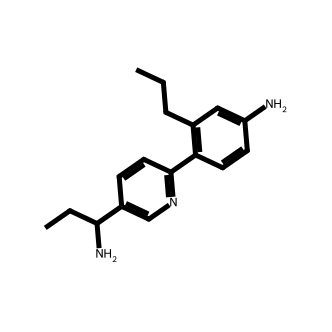 CCCc1cc(N)ccc1-c1ccc(C(N)CC)cn1